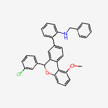 COc1cccc2c1-c1ccc(-c3ccccc3NCc3ccccc3)cc1C(c1cccc(Cl)c1)O2